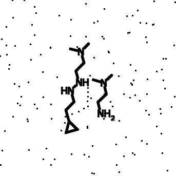 CN(C)CCN.CN(C)CCNNCCC1CC1